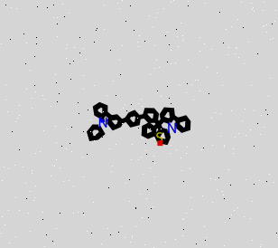 CSc1ccccc1C1(c2cccc(-c3ccc(-c4ccc5c(c4)c4ccccc4n5-c4ccccc4)cc3)c2)c2ccccc2-n2c3ccccc3c3cccc1c32